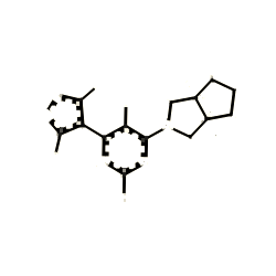 Cc1noc(C)c1-c1nc(C(C)C)nc(N2C[C@H]3CCC[C@H]3C2)c1C